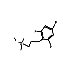 CO[Si](C)(C)CCCc1c(F)cc(F)cc1F